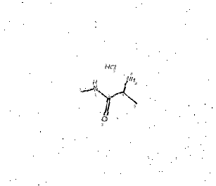 CNC(=O)C(C)N.Cl